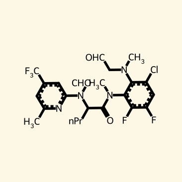 CCCC(C(=O)N(C)c1c(F)c(F)cc(Cl)c1N(C)CC=O)N(C=O)c1cc(C(F)(F)F)cc(C)n1